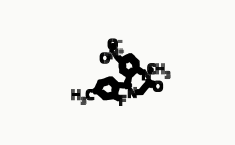 Cc1ccc(C2=NCC(=O)N(C)c3ccc([N+](=O)[O-])cc32)c(F)c1